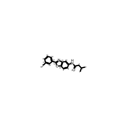 CC(C)CC(=O)Nc1ccc2oc(-c3cccc(I)c3)nc2c1